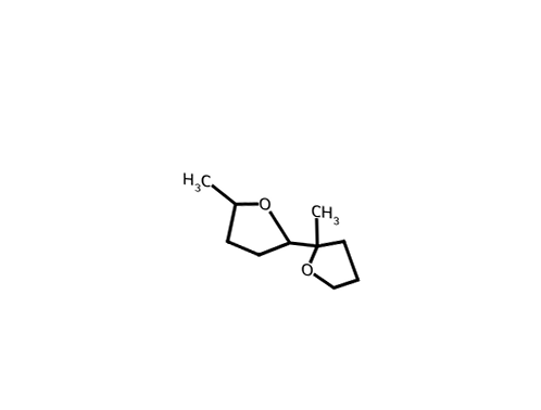 CC1CCC(C2(C)CCCO2)O1